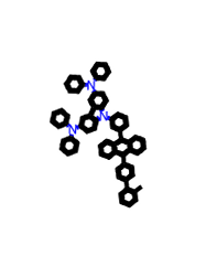 Cc1ccccc1-c1ccc(-c2c3ccccc3c(-c3cccc(-n4c5ccc(N(c6ccccc6)c6ccccc6)cc5c5cc(N(c6ccccc6)c6ccccc6)ccc54)c3)c3ccccc23)cc1